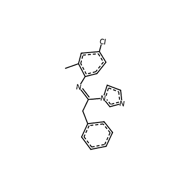 Cc1cc(Cl)ccc1N=C(Cc1ccccc1)n1ccnc1